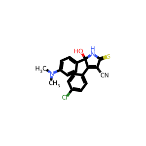 CN(C)c1ccc(C2(O)NC(=S)C(C#N)=C2c2ccc(Cl)cc2)cc1